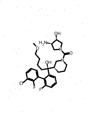 COCCCC[C@@](O)(c1cccc(F)c1-c1cccc(Cl)c1F)[C@@H]1CCCN(C(=O)N2C[C@@H](N)[C@@H](O)C2)C1